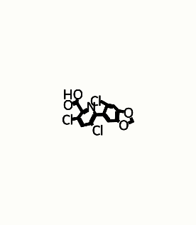 O=C(O)c1nc(-c2cc3c(cc2Cl)OCO3)c(Cl)cc1Cl